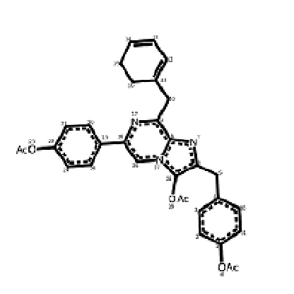 CC(=O)Oc1ccc(Cc2nc3c(CC4=CC=CCC4)nc(-c4ccc(OC(C)=O)cc4)cn3c2OC(C)=O)cc1